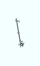 CCOPCCCCCCCCCCOCCCCCCCCOCc1c(F)c(F)c(F)c(F)c1F